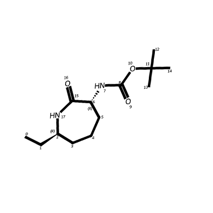 CC[C@@H]1CCC[C@@H](NC(=O)OC(C)(C)C)C(=O)N1